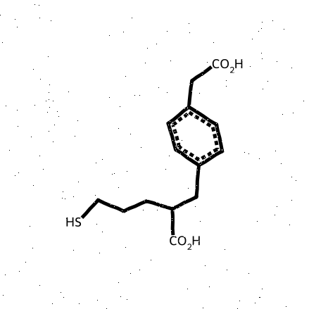 O=C(O)Cc1ccc(CC(CCCS)C(=O)O)cc1